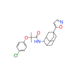 CC(C)(Oc1ccc(Cl)cc1)C(=O)NC1C2CC3CC1CC(c1ccno1)(C3)C2